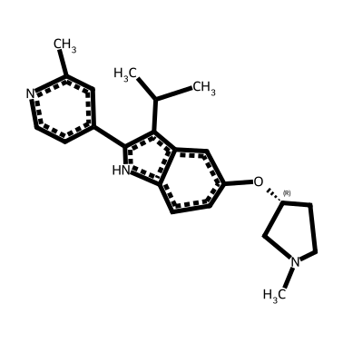 Cc1cc(-c2[nH]c3ccc(O[C@@H]4CCN(C)C4)cc3c2C(C)C)ccn1